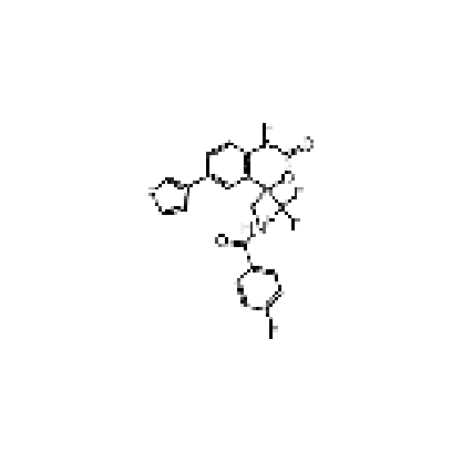 O=C1Nc2ccc(-c3ccsc3)cc2C(CNC(=O)c2ccc(F)cc2)(C(F)(F)F)O1